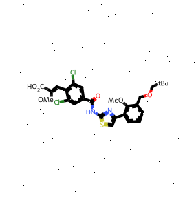 CO/C(=C\c1c(Cl)cc(C(=O)Nc2nc(-c3cccc(COCC(C)(C)C)c3OC)cs2)cc1Cl)C(=O)O